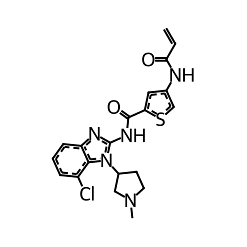 C=CC(=O)Nc1csc(C(=O)Nc2nc3cccc(Cl)c3n2C2CCN(C)C2)c1